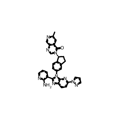 Cc1cc2c(=O)n([C@H]3CCc4cc(-n5c(-c6cccnc6N)nc6ccc(-n7cccn7)nc65)ccc43)cnc2cn1